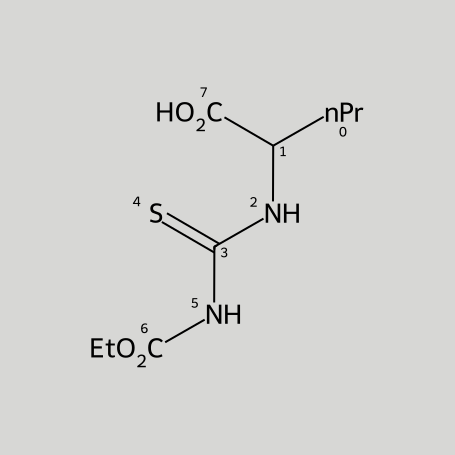 CCCC(NC(=S)NC(=O)OCC)C(=O)O